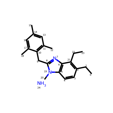 CCc1ccc2c(nc(Cc3c(C)cc(C)cc3C)n2C)c1CC.N